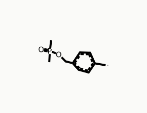 [CH2]c1ccc(COP(C)(C)=O)cc1